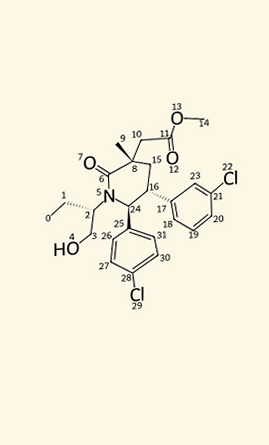 CC[C@@H](CO)N1C(=O)[C@](C)(CC(=O)OC)C[C@H](c2cccc(Cl)c2)[C@H]1c1ccc(Cl)cc1